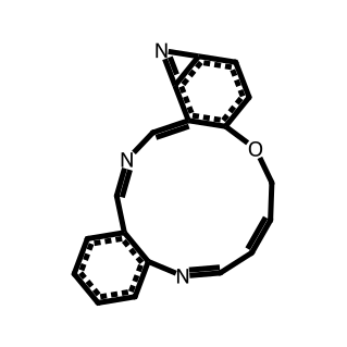 C1=CCOc2ccc3c(c2=CN=Cc2ccccc2N=C1)=N3